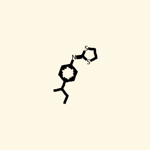 CCC(C)c1ccc(N=C2SCCS2)cc1